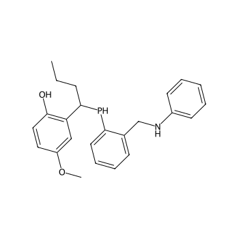 CCCC(Pc1ccccc1CNc1ccccc1)c1cc(OC)ccc1O